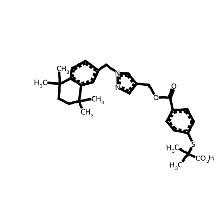 CC(C)(Sc1ccc(C(=O)OCc2cnn(Cc3ccc4c(c3)C(C)(C)CCC4(C)C)c2)cc1)C(=O)O